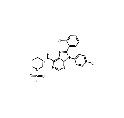 CS(=O)(=O)N1CCC[C@H](Nc2ncnc3c2nc(-c2ccccc2Cl)n3-c2ccc(Cl)cc2)C1